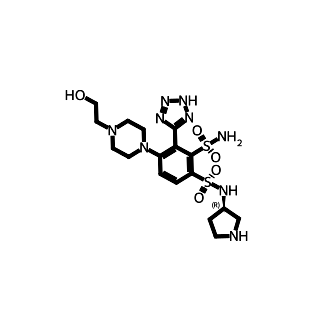 NS(=O)(=O)c1c(S(=O)(=O)N[C@@H]2CCNC2)ccc(N2CCN(CCO)CC2)c1-c1nn[nH]n1